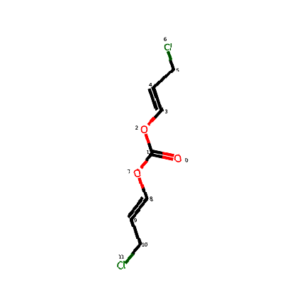 O=C(OC=CCCl)OC=CCCl